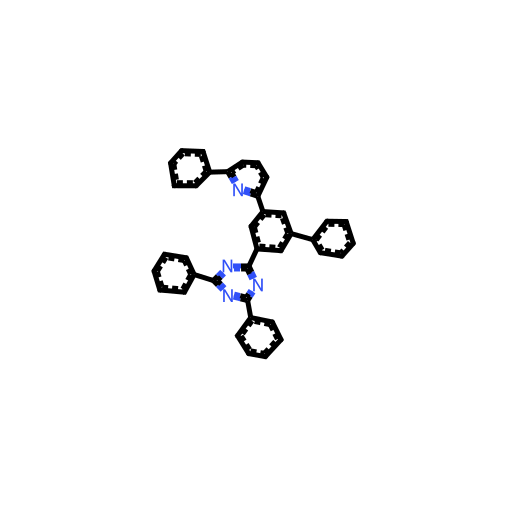 c1ccc(-c2cc(-c3cccc(-c4ccccc4)n3)cc(-c3nc(-c4ccccc4)nc(-c4ccccc4)n3)c2)cc1